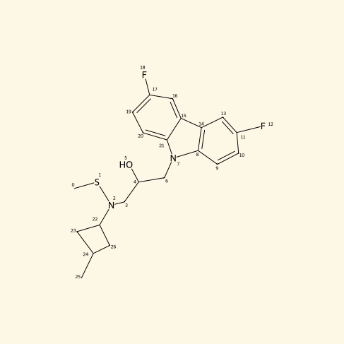 CSN(CC(O)Cn1c2ccc(F)cc2c2cc(F)ccc21)C1CC(C)C1